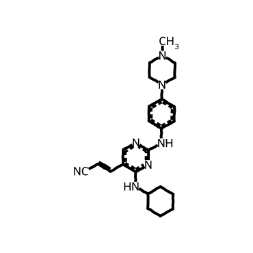 CN1CCN(c2ccc(Nc3ncc(C=CC#N)c(NC4CCCCC4)n3)cc2)CC1